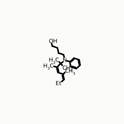 CC/C=C(C)\C=C(\C)C(C)(C)N(CCCCO)c1ccccc1